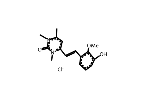 COc1c(O)cccc1C=Cc1cc(C)n(C)c(=O)[n+]1C.[Cl-]